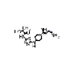 CC(O)C(=O)Nc1nnc(NC2CCN(/C(N)=C/C=C\N)CC2)s1